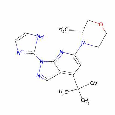 C[C@@H]1COCCN1c1cc(C(C)(C)C#N)c2cnn(-c3ncc[nH]3)c2n1